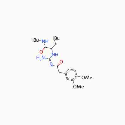 CCC(C)CC(NC(N)=NC(=O)Cc1ccc(OC)c(OC)c1)C(=O)NC(C)CC